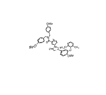 COc1ccc(CN(Cc2ccc(OC)cc2)C(=O)c2cc(N3CC(c4ccc(OC)c(Oc5c(C)cccc5C)c4)CC3=O)ccn2)cc1